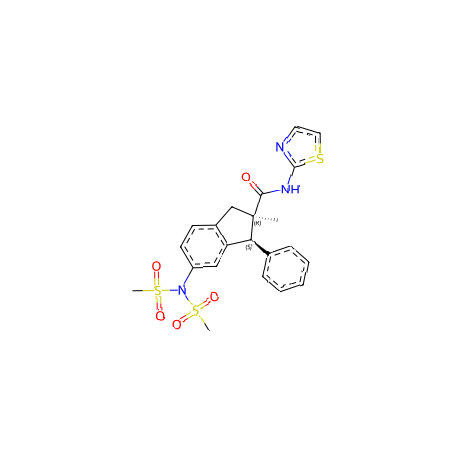 C[C@@]1(C(=O)Nc2nccs2)Cc2ccc(N(S(C)(=O)=O)S(C)(=O)=O)cc2[C@@H]1c1ccccc1